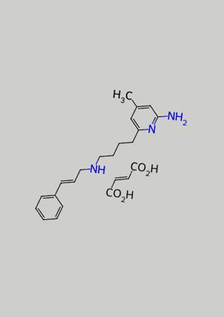 Cc1cc(N)nc(CCCCNC/C=C/c2ccccc2)c1.O=C(O)/C=C/C(=O)O